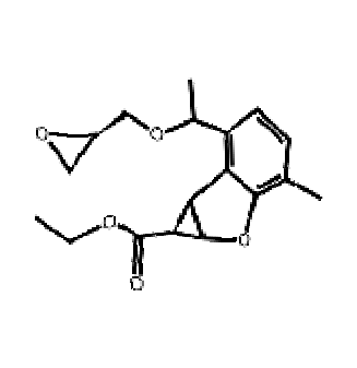 CCOC(=O)C1C2Oc3c(C)ccc(C(C)OC[C@H]4CO4)c3C21